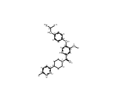 COc1cc(C(=O)N2CCC(c3ccc(C)nn3)CC2)ncc1Oc1ccc(OC(F)F)cc1